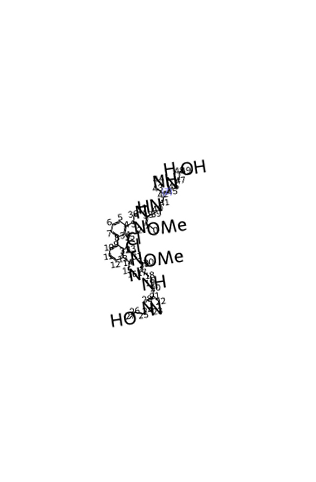 COc1nc(-c2cccc(-c3cccc(-c4cnc(CNCc5cnn(CCO)c5)c(OC)n4)c3Cl)c2Cl)cnc1CNC/C(C=N)=C/NCCO